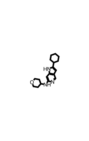 c1nc(NC2CCOCC2)cc2[nH]c(C3CCCCC3)cc12